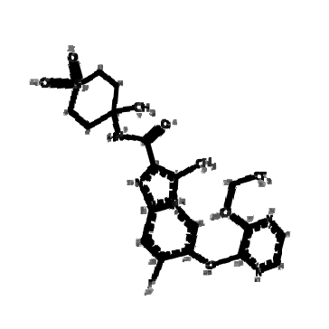 Cc1c(C(=O)NC2(C)CCS(=O)(=O)CC2)nc2cc(F)c(Oc3nccnc3OCC(F)(F)F)cn12